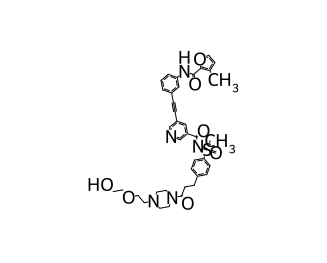 Cc1ccoc1C(=O)Nc1cccc(C#Cc2cncc(C(=O)N=S(C)(=O)c3ccc(CCC(=O)N4CCN(CCOCCO)CC4)cc3)c2)c1